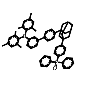 Cc1cc(C)c(B(c2cccc(-c3ccc(C45CC6CC(C4)CC(c4ccc(P(=O)(c7ccccc7)c7ccccc7)cc4)(C6)C5)cc3)c2)c2c(C)cc(C)cc2C)c(C)c1